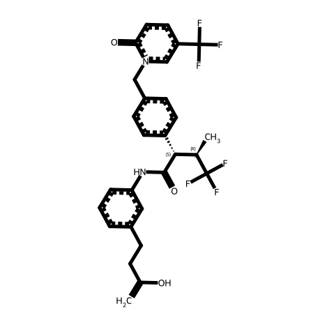 C=C(O)CCc1cccc(NC(=O)[C@H](c2ccc(Cn3cc(C(F)(F)F)ccc3=O)cc2)[C@@H](C)C(F)(F)F)c1